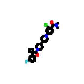 CN(C)C(=O)c1ccc(N2CCC(C3CCN(C(=O)C4(c5cccc(F)c5)CCC4)CC3)CC2)cc1Cl